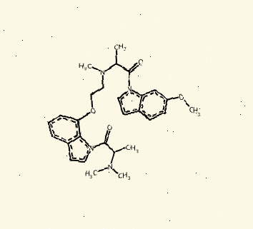 COc1ccc2ccn(C(=O)C(C)N(C)CCOc3cccc4ccn(C(=O)C(C)N(C)C)c34)c2c1